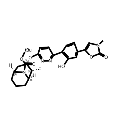 Cn1cc(-c2ccc(-c3ccc(O[C@H]4C[C@@H]5CCC[C@H]([C@H]4F)N5C(=O)OC(C)(C)C)nn3)c(O)c2)oc1=O